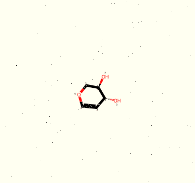 O[C@@H]1C=COC[C@H]1O